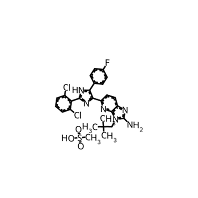 CC(C)(C)Cn1c(N)nc2ccc(-c3nc(-c4c(Cl)cccc4Cl)[nH]c3-c3ccc(F)cc3)nc21.CS(=O)(=O)O